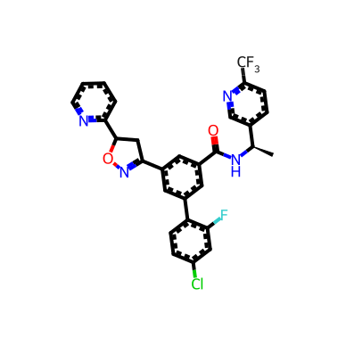 C[C@@H](NC(=O)c1cc(C2=NOC(c3ccccn3)C2)cc(-c2ccc(Cl)cc2F)c1)c1ccc(C(F)(F)F)nc1